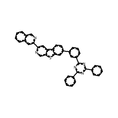 c1ccc(-c2nc(-c3ccccc3)nc(-c3cccc(-c4ccc5c(c4)sc4cnc(-c6cc7ccccc7cn6)cc45)c3)n2)cc1